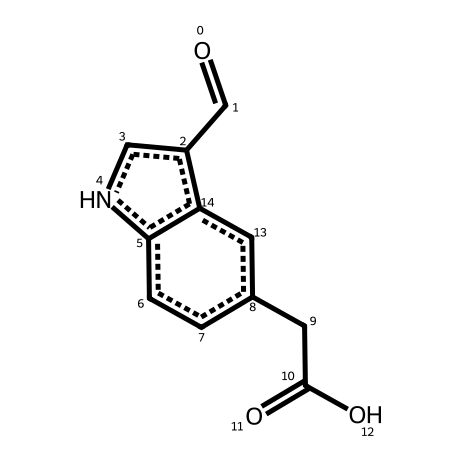 O=Cc1c[nH]c2ccc(CC(=O)O)cc12